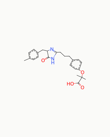 Cc1ccc(CC2N=C(CCCc3ccc(OC(C)(C)C(=O)O)cc3)NC2=O)cc1